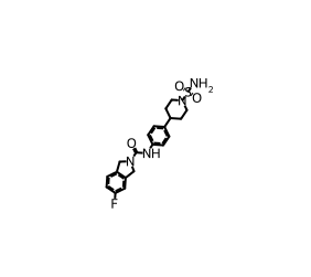 NS(=O)(=O)N1CCC(c2ccc(NC(=O)N3Cc4ccc(F)cc4C3)cc2)CC1